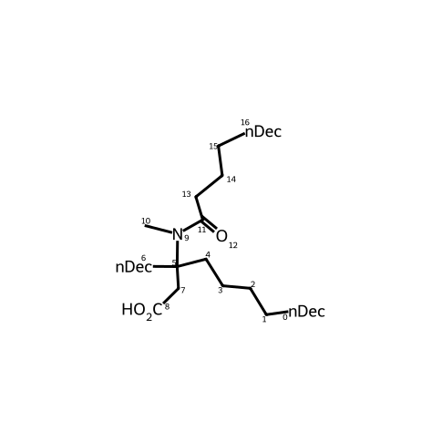 CCCCCCCCCCCCCCC(CCCCCCCCCC)(CC(=O)O)N(C)C(=O)CCCCCCCCCCCCC